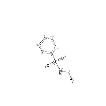 CC(=O)CNS(=O)(=O)c1ccccc1